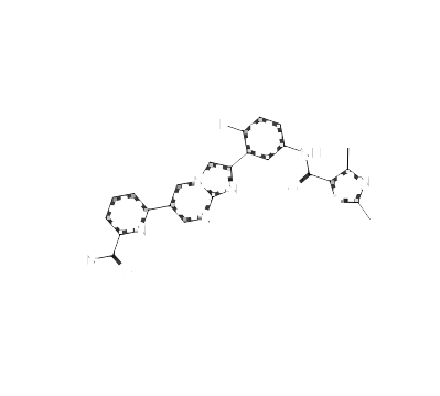 Cc1nc(C)c(C(=O)Nc2ccc(F)c(-c3cn4cc(-c5cccc(C(N)=O)n5)cnc4n3)c2)o1